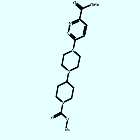 COC(=O)c1ccc(N2CCN(C3CCN(C(=O)OC(C)(C)C)CC3)CC2)nn1